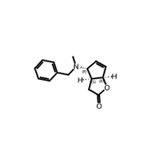 CN(Cc1ccccc1)[C@@H]1C=C[C@H]2OC(=O)C[C@@H]12